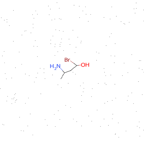 CC(N)CC(O)Br